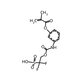 C=C(C)C(=O)Oc1cccc(NC(=O)OCC(F)(F)S(=O)(=O)O)c1